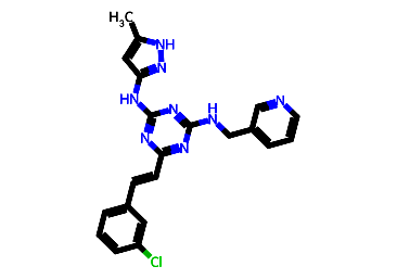 Cc1cc(Nc2nc(/C=C/c3cccc(Cl)c3)nc(NCc3cccnc3)n2)n[nH]1